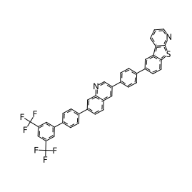 FC(F)(F)c1cc(-c2ccc(-c3ccc4cc(-c5ccc(-c6ccc7sc8ncccc8c7c6)cc5)cnc4c3)cc2)cc(C(F)(F)F)c1